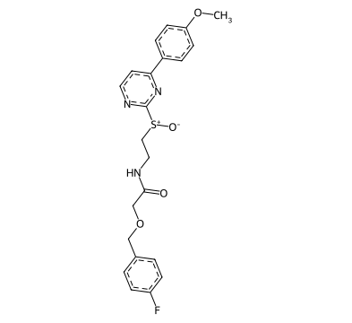 COc1ccc(-c2ccnc([S+]([O-])CCNC(=O)COCc3ccc(F)cc3)n2)cc1